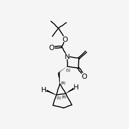 C=C1C(=O)[C@H](C[C@H]2[C@@H]3CCC[C@@H]32)N1C(=O)OC(C)(C)C